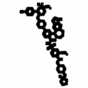 CC1(C)CCC(CN2CCN(c3ccc(C(=O)NS(=O)(=O)c4ccc(NCC5CCC(N=S6(=O)CCCC6)CC5)c([N+](=O)[O-])c4)c(N4CCCOc5nc6[nH]ccc6cc54)c3)CC2)=C(c2ccc(Cl)cc2)C1